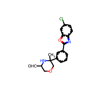 CC1(c2cccc(-c3nc4ccc(Cl)cc4o3)c2)COCC(C=O)N1